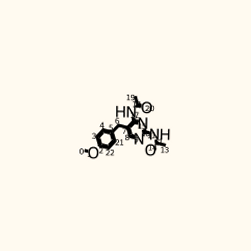 COc1ccc(Cc2cnc(NC(C)=O)nc2NC(C)=O)cc1